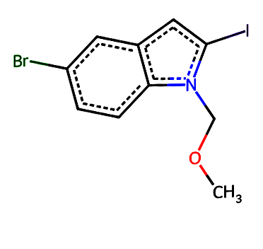 COCn1c(I)cc2cc(Br)ccc21